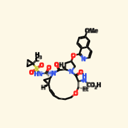 CC[C@@H]1OCCC/C=C\[C@@H]2C[C@@]2(C(=O)NS(=O)(=O)C2(C)CC2)NC(=O)[C@@H]2C[C@@H](Oc3nccc4cc(OC)ccc34)CN2C(=O)[C@H]1NC(=O)O